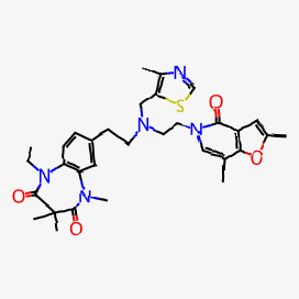 CCN1C(=O)C(C)(C)C(=O)N(C)c2cc(CCN(CCn3cc(C)c4oc(C)cc4c3=O)Cc3scnc3C)ccc21